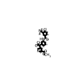 COC(=O)c1cncc(C(C(C)=O)c2cccc(NC(=O)c3ccc(Cl)c(C(F)(F)F)c3)c2)c1